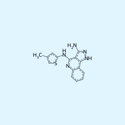 Cc1csc(Nc2nc3ccccc3c3[nH]nc(N)c23)c1